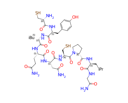 CC[C@H](C)[C@H](NC(=O)[C@H](Cc1ccc(O)cc1)NC(=O)[C@@H](N)CS)C(=O)N[C@@H](CCC(N)=O)C(=O)N[C@@H](CC(N)=O)C(=O)N[C@@H](CS)C(=O)N1CCC[C@@H]1C(=O)N[C@@H](CC(C)C)C(=O)NCC(N)=O